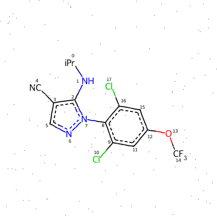 CC(C)Nc1c(C#N)cnn1-c1c(Cl)cc(OC(F)(F)F)cc1Cl